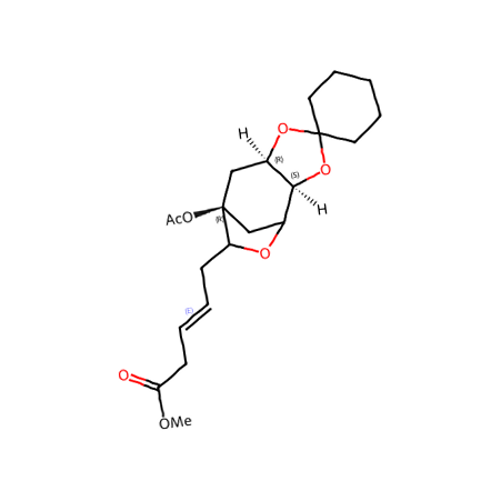 COC(=O)C/C=C/CC1OC2C[C@@]1(OC(C)=O)C[C@H]1OC3(CCCCC3)O[C@@H]21